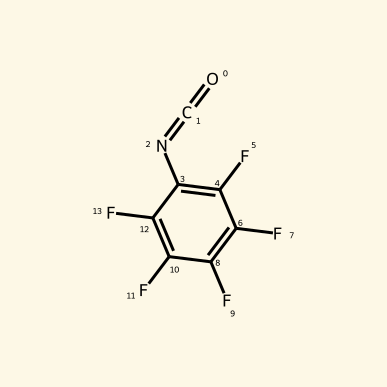 O=C=Nc1c(F)c(F)c(F)c(F)c1F